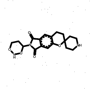 O=C1c2cc3c(cc2C(=O)N1C1CCONO1)OC1(CCNCC1)CC3